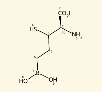 N[C@H](C(=O)O)C(S)CCB(O)O